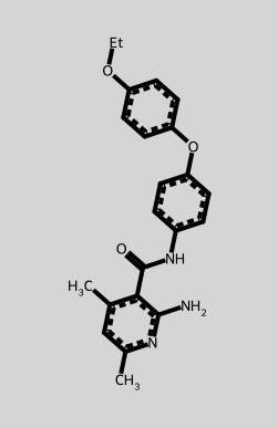 CCOc1ccc(Oc2ccc(NC(=O)c3c(C)cc(C)nc3N)cc2)cc1